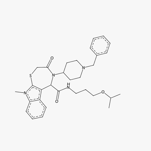 CC(C)OCCCNC(=O)C1c2c(n(C)c3ccccc23)SCC(=O)N1C1CCN(Cc2ccccc2)CC1